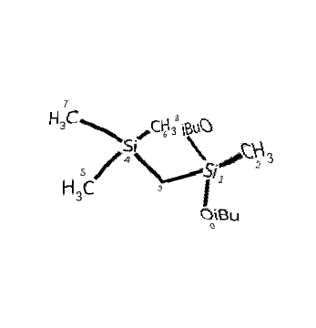 CC(C)CO[Si](C)(C[Si](C)(C)C)OCC(C)C